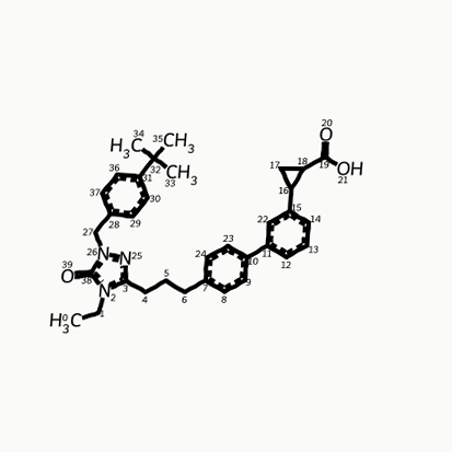 CCn1c(CCCc2ccc(-c3cccc(C4CC4C(=O)O)c3)cc2)nn(Cc2ccc(C(C)(C)C)cc2)c1=O